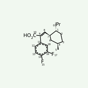 CC(C)[C@@H]1CC[C@@H](C)C[C@H]1C=C(C(=O)O)c1ccc(F)c(F)c1